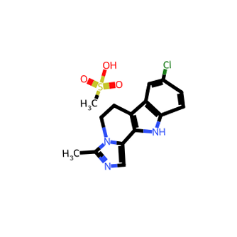 CS(=O)(=O)O.Cc1ncc2n1CCc1c-2[nH]c2ccc(Cl)cc12